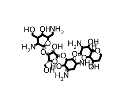 NCC1O[C@H](O[C@@H]2[C@H](O)[C@H](OC3C(O)[C@H](N)CC(N)[C@H]3O[C@H]3OC4C(O)CCO[C@H]4C(O)C3N)O[C@@H]2CO)C(N)C(CO)[C@@H]1O